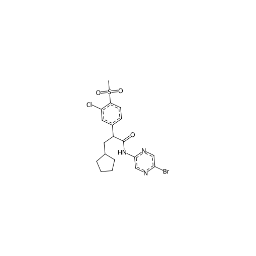 CS(=O)(=O)c1ccc(C(CC2CCCC2)C(=O)Nc2cnc(Br)cn2)cc1Cl